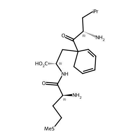 CSCC[C@H](N)C(=O)N[C@@H](CC1(C(=O)[C@@H](N)CC(C)C)C=CC=CC1)C(=O)O